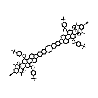 C#Cc1cc(C(C)C)c(N2C(=O)c3cc(Oc4ccc(C(C)(C)C)cc4)c4c5ccc6c7c(ccc(c8c(Oc9ccc(C(C)(C)C)cc9)cc(c3c48)C2=O)c75)-c2cc3cc4c(cc3cc2-6)/C=C\c2cc3cc5c(cc3cc2/C=C\4)-c2ccc3c4c(Oc6ccc(C(C)(C)C)cc6)cc6c7c(cc(Oc8ccc(C(C)(C)C)cc8)c(c8ccc-5c2c83)c74)C(=O)N(c2c(C(C)C)cc(C#C)cc2C(C)C)C6=O)c(C(C)C)c1